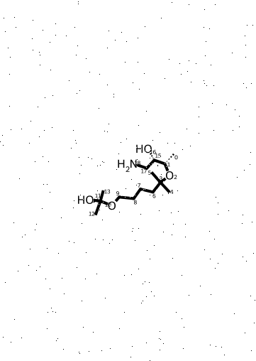 C[C@H](OC(C)(C)CCCCOC(C)(C)O)[C@@H](O)CN